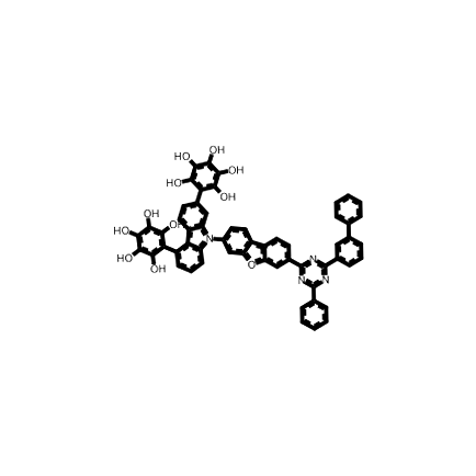 Oc1c(O)c(O)c(-c2ccc3c4c(-c5c(O)c(O)c(O)c(O)c5O)cccc4n(-c4ccc5c(c4)oc4cc(-c6nc(-c7ccccc7)nc(-c7cccc(-c8ccccc8)c7)n6)ccc45)c3c2)c(O)c1O